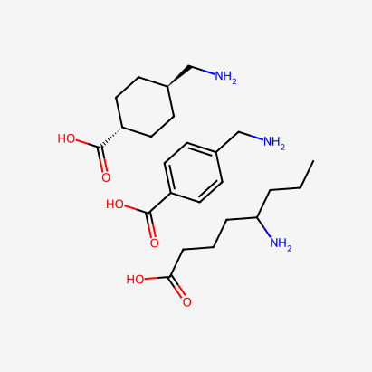 CCCC(N)CCCC(=O)O.NC[C@H]1CC[C@H](C(=O)O)CC1.NCc1ccc(C(=O)O)cc1